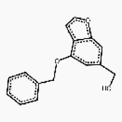 OCc1cc(OCc2ccccc2)c2ccoc2c1